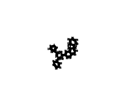 c1ccc(-c2nc(-c3ccccc3)nc(-c3ccc4ccc5c6ncccc6oc5c4c3)n2)cc1